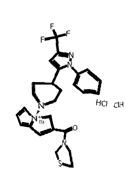 Cl.Cl.O=C(C1=CC2=CC=C[N@@+]2(N2CCC(c3cc(C(F)(F)F)nn3-c3ccccc3)CC2)C1)N1CCSC1